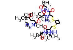 BC(=O)CNC(=O)C(CSC1CCC1SCC(NC(C)(C)C)C(=O)NCC(B)=O)NC(=O)C(C)(C)COC(C)(N)CCC(=O)C(C)(C)C